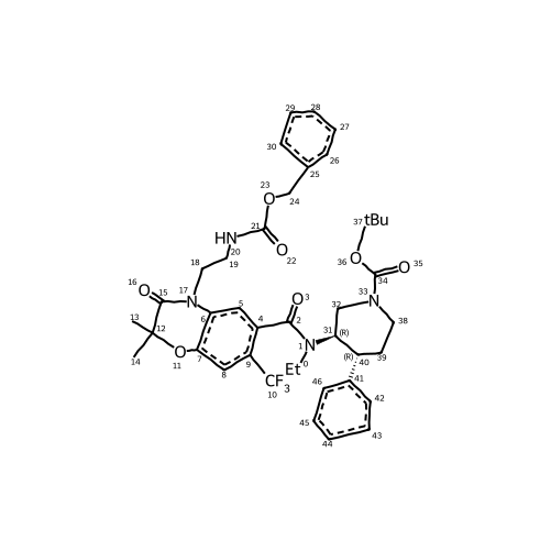 CCN(C(=O)c1cc2c(cc1C(F)(F)F)OC(C)(C)C(=O)N2CCNC(=O)OCc1ccccc1)[C@H]1CN(C(=O)OC(C)(C)C)CC[C@@H]1c1ccccc1